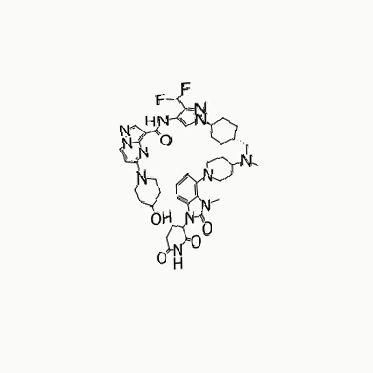 CN(C[C@H]1CC[C@H](n2cc(NC(=O)c3cnn4ccc(N5CCC(O)CC5)nc34)c(C(F)F)n2)CC1)C1CCN(c2cccc3c2n(C)c(=O)n3C2CCC(=O)NC2=O)CC1